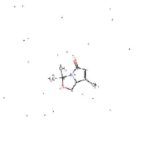 CC1=CC(=O)N2C1COC2(C)C